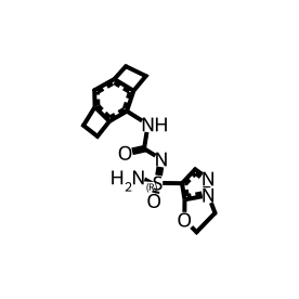 N[S@@](=O)(=NC(=O)Nc1c2c(cc3c1CC3)CC2)c1cnn2c1OCC2